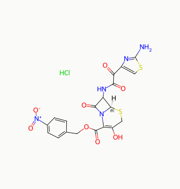 Cl.Nc1nc(C(=O)C(=O)NC2C(=O)N3C(C(=O)OCc4ccc([N+](=O)[O-])cc4)=C(O)CS[C@H]23)cs1